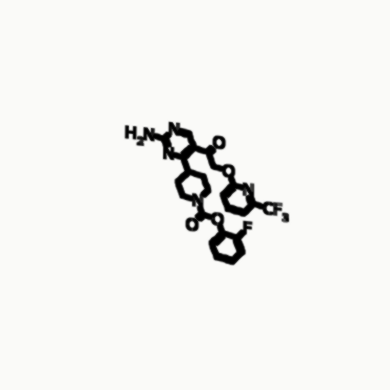 Nc1ncc(C(=O)COc2cccc(C(F)(F)F)n2)c(C2CCN(C(=O)Oc3ccccc3F)CC2)n1